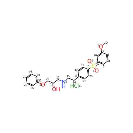 COc1cccc(S(=O)(=O)c2ccc(CCNC[C@H](O)COc3ccccc3)cc2)c1.Cl